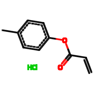 C=CC(=O)Oc1ccc(C)cc1.Cl